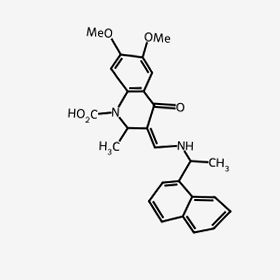 COc1cc2c(cc1OC)N(C(=O)O)C(C)C(=CNC(C)c1cccc3ccccc13)C2=O